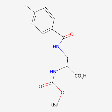 Cc1ccc(C(=O)NCC(NC(=O)OC(C)(C)C)C(=O)O)cc1